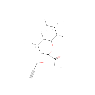 C#CCO[C@]1(C(=O)OC)C[C@@H](OC(C)=O)[C@@H](NC(C)=O)C([C@H](OC(C)=O)[C@@H](COC(C)=O)OC(C)=O)O1